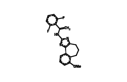 C=C(Nc1nc2c(s1)-c1cccc(OC)c1CCC2)c1c(F)cccc1F